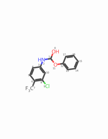 OC(Nc1ccc(C(F)(F)F)c(Cl)c1)Oc1ccccc1